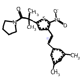 Cc1cc(C)cc(/C=C/c2cc(C(C)(C)C(=O)N3CCCC3)sc2[N+](=O)[O-])c1